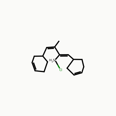 CC(=CC1CC=CCC1)C(=CC1CC=CCC1)[SiH2]Cl